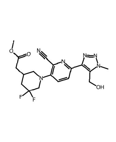 COC(=O)CC1CN(c2ccc(-c3nnn(C)c3CO)nc2C#N)CC(F)(F)C1